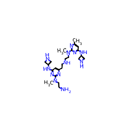 Cc1cc(NC2CNC2)nc(N(C)CCNCCc2cc(NC3CNC3)nc(N(C)CCN)n2)n1